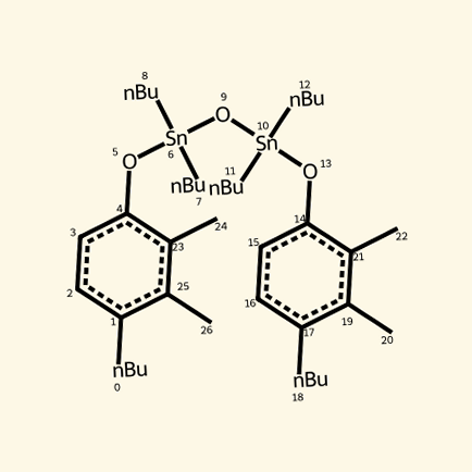 CCCCc1ccc([O][Sn]([CH2]CCC)([CH2]CCC)[O][Sn]([CH2]CCC)([CH2]CCC)[O]c2ccc(CCCC)c(C)c2C)c(C)c1C